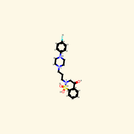 O=C1CN(CCCN2CCN(c3ccc(F)cc3)CC2)S(=O)(=O)c2ccccc21